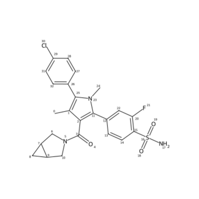 Cc1c(C(=O)N2CC3CC3C2)c(-c2ccc(S(N)(=O)=O)c(F)c2)n(C)c1-c1ccc(Cl)cc1